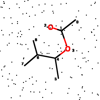 CC([O])OC(C)C(C)C